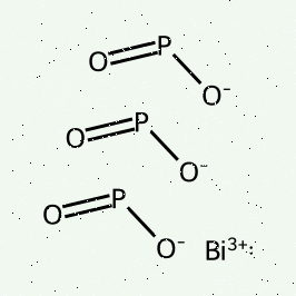 O=P[O-].O=P[O-].O=P[O-].[Bi+3]